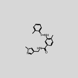 Cc1ccc(C(=O)NCc2cnn(C)c2)cc1NSc1ccccc1C